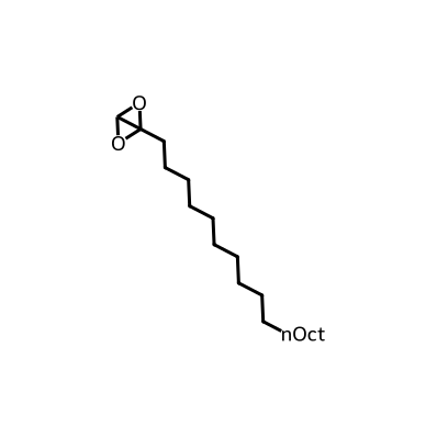 CCCCCCCCCCCCCCCCCCC12OC1O2